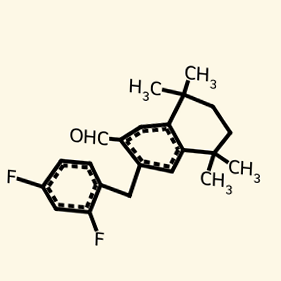 CC1(C)CCC(C)(C)c2cc(Cc3ccc(F)cc3F)c(C=O)cc21